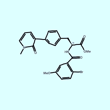 COC(=O)[C@H](Cc1ccc(-c2cccn(C)c2=O)cc1)NC(=O)c1cc(OC)ccc1Br